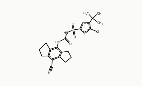 CC(C)(O)c1cc(S(=O)(=O)NC(=O)Nc2c3c(c(C#N)c4c2CCC4)CCC3)sc1Cl